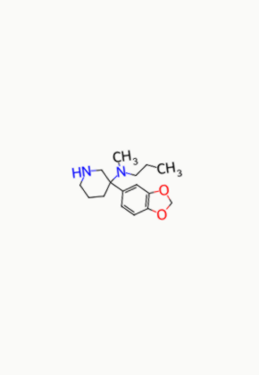 CCCN(C)C1(c2ccc3c(c2)OCO3)CCCNC1